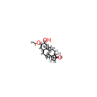 CCOC1=CC2=CC[C@@H]3[C@H](CC[C@]4(C)C(=O)CC[C@@H]34)[C@@]2(C)CC1O